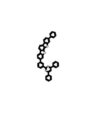 c1ccc(-c2ccc3c(c2)oc2c3ccc3c4ccc(-c5cccc(-c6nc(-c7ccccc7)cc(-c7ccccc7)n6)c5)cc4oc32)cc1